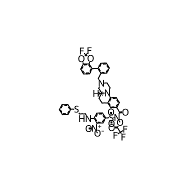 O=C(c1ccc2c(c1)CC[C@@H]1CN(Cc3ccccc3-c3cccc4c3OC(F)(F)O4)CCN21)N(OC(=O)C(F)(F)F)S(=O)(=O)c1ccc(NCCSc2ccccc2)c([N+](=O)[O-])c1